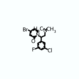 CN(C)CC(c1cc(F)cc(Cl)c1)n1ccc(Br)cc1=O